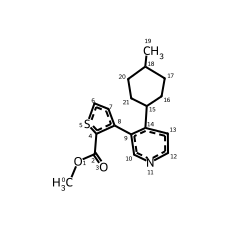 COC(=O)c1sccc1-c1cnccc1C1CCC(C)CC1